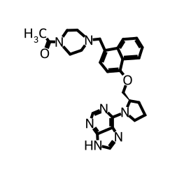 CC(=O)N1CCN(Cc2ccc(OC[C@H]3CCCN3c3ncnc4[nH]cnc34)c3ccccc23)CC1